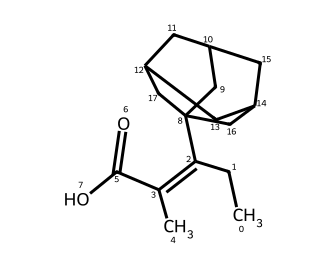 CC/C(=C(\C)C(=O)O)C12CC3CC(CC(C3)C1)C2